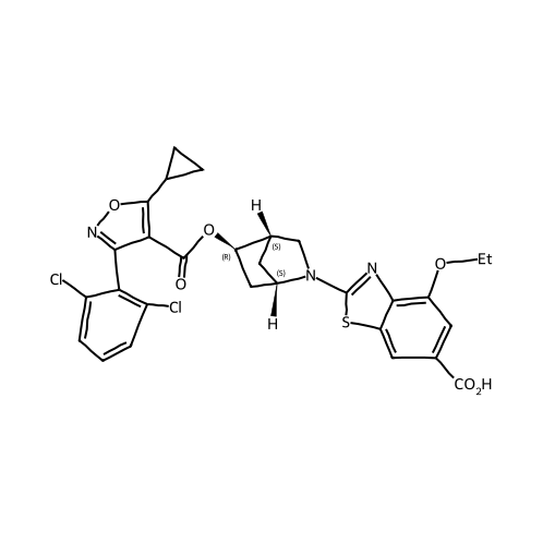 CCOc1cc(C(=O)O)cc2sc(N3C[C@@H]4C[C@H]3C[C@H]4OC(=O)c3c(-c4c(Cl)cccc4Cl)noc3C3CC3)nc12